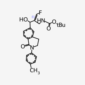 Cc1ccc(N2CCc3cc(C(O)/C(=C/F)CNC(=O)OC(C)(C)C)ccc3C2=O)cc1